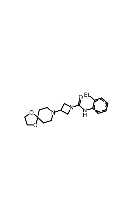 CCc1ccccc1NC(=O)N1CC(N2CCC3(CC2)OCCO3)C1